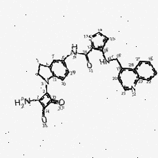 Nc1c(N2CCc3cc(NC(=O)c4sccc4NCc4ccnc5ccccc45)ccc32)c(=O)c1=O